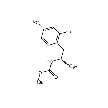 CC(C)(C)OC(=O)N[C@@H](Cc1ccc(C#N)cc1Cl)C(=O)O